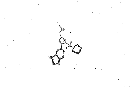 CNCc1cc(-c2ccc3nc[nH]c3c2)n(S(=O)(=O)c2cccnc2)c1